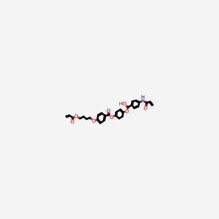 C=CC(=O)Nc1ccc(C(O)OC2=CC=C(OC(=O)c3ccc(OCCCCOC(=O)C=C)cc3)CC2)cc1